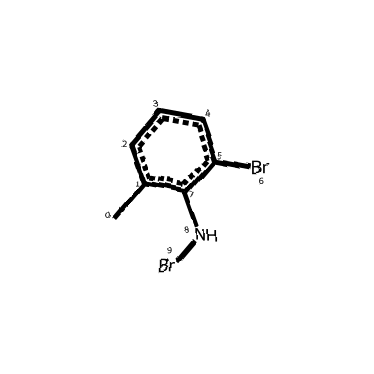 Cc1cccc(Br)c1NBr